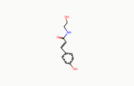 O=C(C=Cc1ccc(O)cc1)NCCO